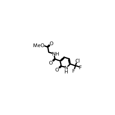 COC(=O)CNC(=O)c1ccc(C(F)(F)Cl)[nH]c1=O